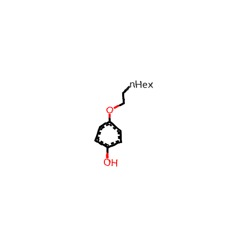 [CH2]CCCCCCCOc1ccc(O)cc1